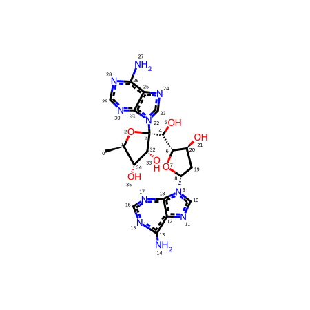 C[C@H]1O[C@@](C(O)[C@H]2O[C@@H](n3cnc4c(N)ncnc43)C[C@@H]2O)(n2cnc3c(N)ncnc32)[C@H](O)[C@@H]1O